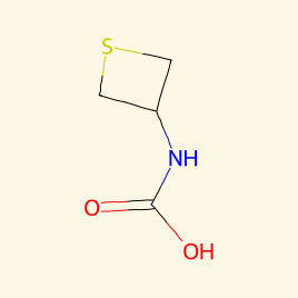 O=C(O)NC1CSC1